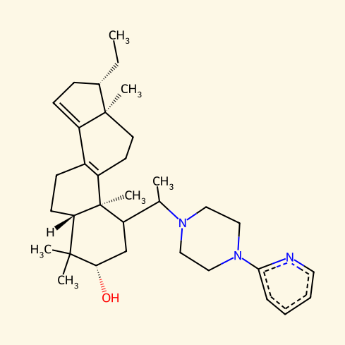 CC[C@H]1CC=C2C3=C(CC[C@@]21C)[C@@]1(C)C(C(C)N2CCN(c4ccccn4)CC2)C[C@H](O)C(C)(C)[C@@H]1CC3